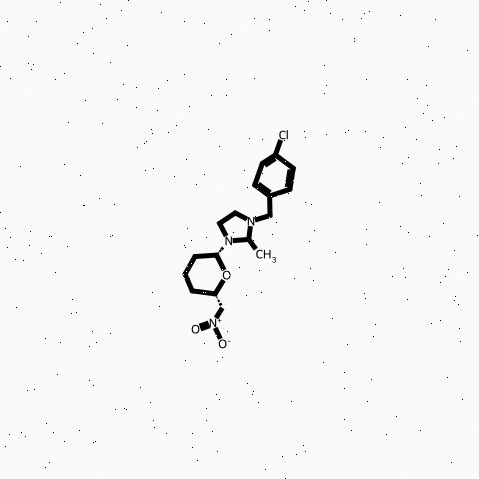 CC1N(Cc2ccc(Cl)cc2)CCN1[C@H]1CCC[C@@H](C[N+](=O)[O-])O1